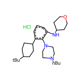 CCCCN1CCN(c2c(NC3CCOCC3)cccc2C2CCC(C(C)(C)C)CC2)CC1.Cl